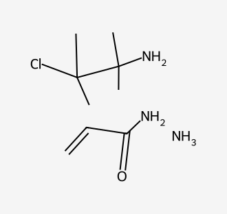 C=CC(N)=O.CC(C)(N)C(C)(C)Cl.N